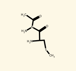 CSCC(N)C(=O)N(N)C(C)=O